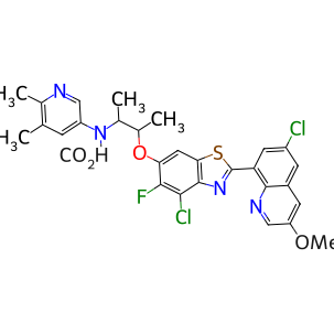 COc1cnc2c(-c3nc4c(Cl)c(F)c(OC(C)C(C)N(C(=O)O)c5cnc(C)c(C)c5)cc4s3)cc(Cl)cc2c1